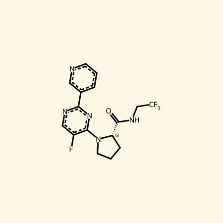 O=C(NCC(F)(F)F)[C@@H]1CCCN1c1nc(-c2cccnc2)ncc1F